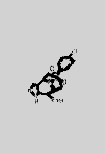 O=S(=O)(c1ccc(Cl)cc1)N1C2CCCC1C(O)c1[nH]ncc12